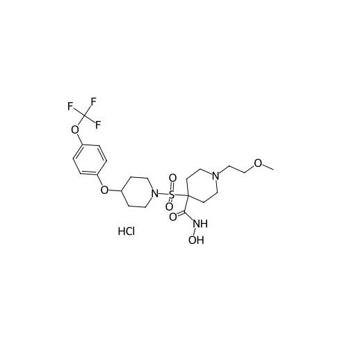 COCCN1CCC(C(=O)NO)(S(=O)(=O)N2CCC(Oc3ccc(OC(F)(F)F)cc3)CC2)CC1.Cl